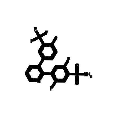 Cc1ccc(-c2cccnc2-c2cc(F)c(S(N)(=O)=O)cc2F)cc1C(F)(F)F